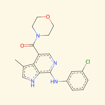 Cc1c[nH]c2c(Nc3cccc(Cl)c3)ncc(C(=O)N3CCOCC3)c12